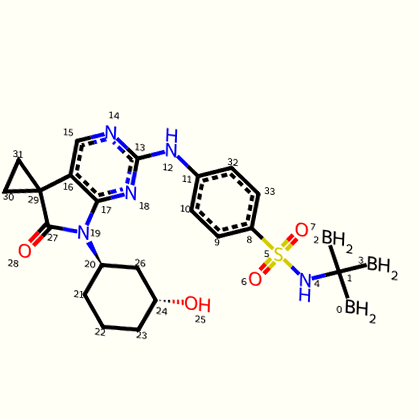 BC(B)(B)NS(=O)(=O)c1ccc(Nc2ncc3c(n2)N([C@@H]2CCC[C@@H](O)C2)C(=O)C32CC2)cc1